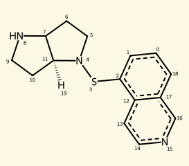 c1cc(SN2CCC3NCC[C@@H]32)c2ccncc2c1